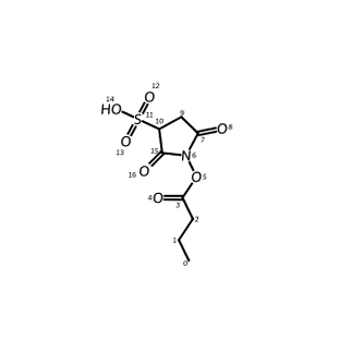 CCCC(=O)ON1C(=O)CC(S(=O)(=O)O)C1=O